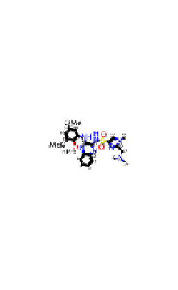 CCCOc1c(Nc2nc3ccccc3nc2NS(=O)(=O)c2cn(C)c(CN(C)C)n2)cc(OC)cc1OC